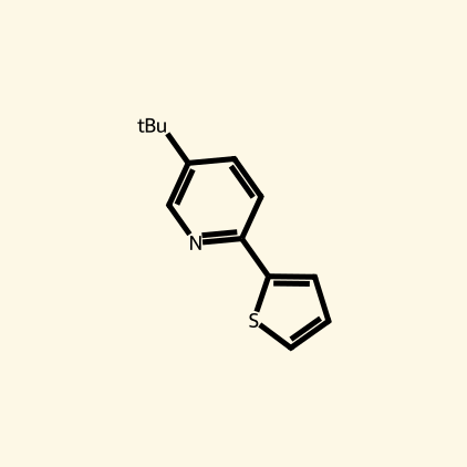 CC(C)(C)c1ccc(-c2cccs2)nc1